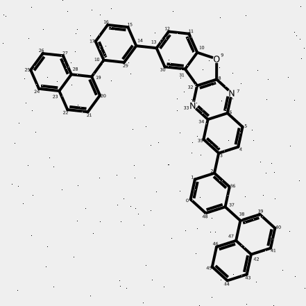 c1cc(-c2ccc3nc4oc5ccc(-c6cccc(-c7cccc8ccccc78)c6)cc5c4nc3c2)cc(-c2cccc3ccccc23)c1